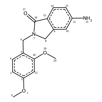 COc1ccc(CN2Cc3cc(N)ccc3C2=O)c(OC)c1